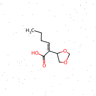 CCCC=C(C(=O)O)C1COCO1